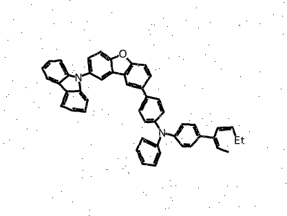 C/C=C(\C=C/CC)c1ccc(N(c2ccccc2)c2ccc(-c3ccc4oc5ccc(-n6c7ccccc7c7ccccc76)cc5c4c3)cc2)cc1